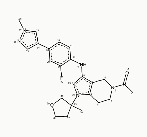 CC(=O)N1CCc2c(c(Nc3ccc(-c4cnn(C)c4)cc3F)nn2C2(C)CCOC2)C1